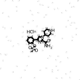 CS(=O)(=O)Oc1ccccc1-c1cn(C2CCNCC2)c(C(N)=O)n1.Cl